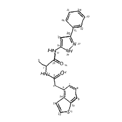 CC(NC(=O)Cc1cccc2sccc12)C(=O)Nc1cc(-c2ccccc2)n[nH]1